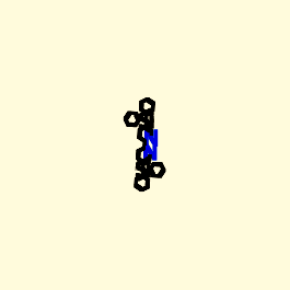 C[Si](c1ccccc1)(c1ccccc1)c1ccc(-c2ccc([Si](C)(c3ccccc3)c3ccccc3)cn2)nc1